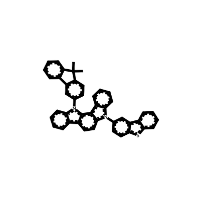 CC1(C)c2ccccc2-c2cc(-n3c4ccccc4c4ccc5c(c6ccccc6n5-c5ccc6sc7ccccc7c6c5)c43)ccc21